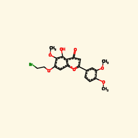 COc1ccc(-c2cc(=O)c3c(O)c(OC)c(OCCBr)cc3o2)cc1OC